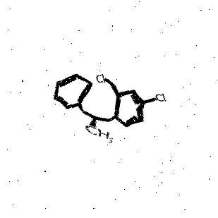 C[C@@H](c1ccccc1)c1ccc(Cl)cc1Cl